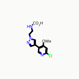 COc1cc(Cl)ncc1-c1cnn(CCNC(=O)O)c1